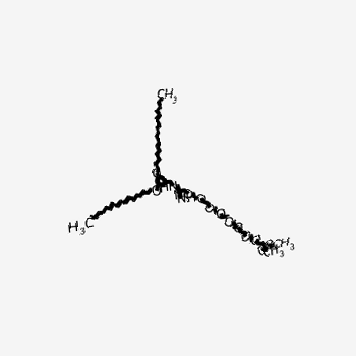 CCCCCCCCCCCCCCCCCCOc1cc(CN/C=C(/COCCOCCOCCOCCOCCOCCOCCOCCP(C)(=O)OCC)N=N)cc(OCCCCCCCCCCCCCCCCCC)c1